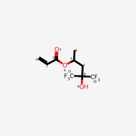 C=CC(=O)OC(C)CC(O)(C(F)(F)F)C(F)(F)F